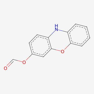 O=COc1ccc2c(c1)Oc1ccccc1N2